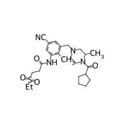 CCS(=O)(=O)CCC(=O)Nc1cc(C#N)cc(CN2CCN(C(=O)C3CCCC3)C(C)C2)c1C